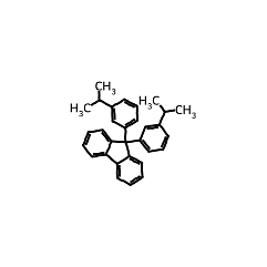 CC(C)c1cccc(C2(c3cccc(C(C)C)c3)c3ccccc3-c3ccccc32)c1